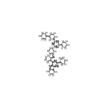 C1=CC2c3ccc(-c4nc(-c5ccccc5)nc(-c5cccc(-c6ccccc6)c5)n4)cc3SC2C(c2nc(-c3ccccc3)nc3c2sc2ccccc23)=C1